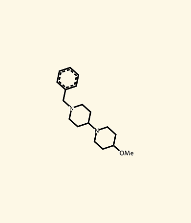 COC1CCN(C2CCN(Cc3ccccc3)CC2)CC1